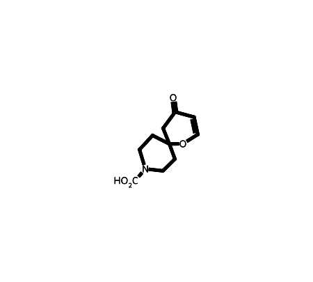 O=C1C=COC2(CCN(C(=O)O)CC2)C1